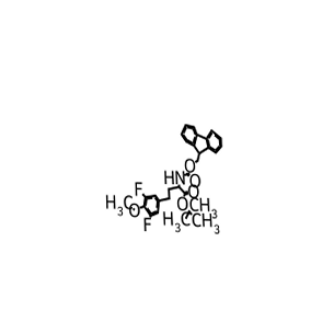 COc1c(F)cc(CCC(NC(=O)OCC2c3ccccc3-c3ccccc32)C(=O)OC(C)(C)C)cc1F